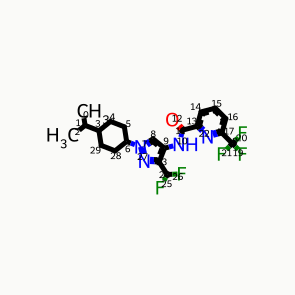 CC(C)C1CCC(n2cc(NC(=O)c3cccc(C(F)(F)F)n3)c(C(F)F)n2)CC1